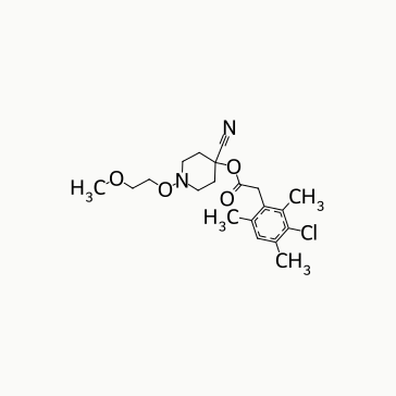 COCCON1CCC(C#N)(OC(=O)Cc2c(C)cc(C)c(Cl)c2C)CC1